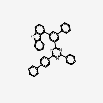 c1ccc(-c2ccc(-c3nc(-c4ccccc4)nc(-c4cc(-c5ccccc5)cc(-c5cccc6oc7ccccc7c56)c4)n3)cc2)cc1